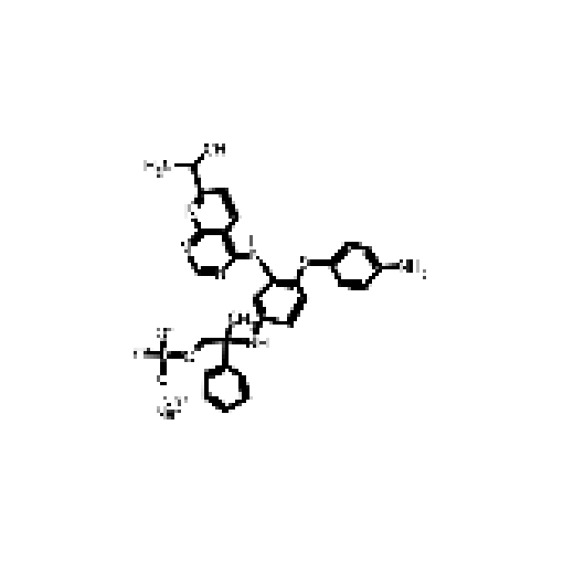 CC(C)c1ccc2c(Nc3cc(NC(C)(COP(=O)([O-])[O-])c4ccccc4)ccc3Sc3ccc(N)cc3)ncnc2n1.[Na+].[Na+]